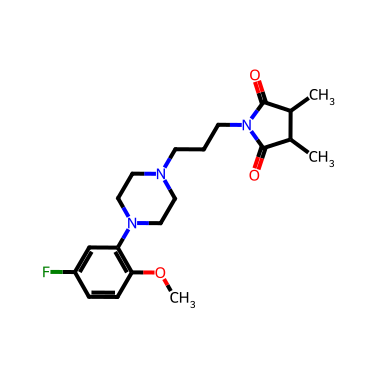 COc1ccc(F)cc1N1CCN(CCCN2C(=O)C(C)C(C)C2=O)CC1